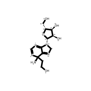 NC1(CCO)N=CN=C2C1=NCN2[C@@H]1O[C@H](CO)[C@@H](O)[C@H]1O